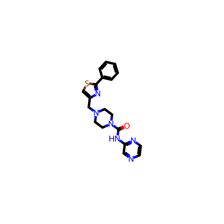 O=C(Nc1cnccn1)N1CCN(Cc2csc(-c3ccccc3)n2)CC1